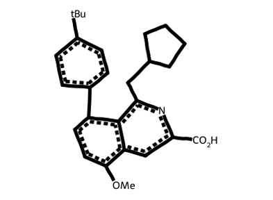 COc1ccc(-c2ccc(C(C)(C)C)cc2)c2c(CC3CCCC3)nc(C(=O)O)cc12